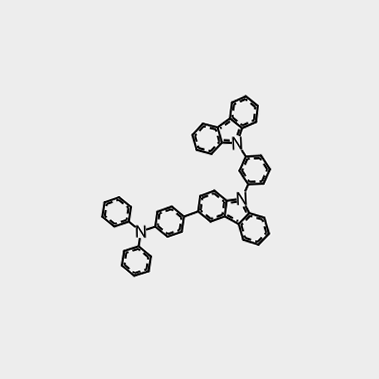 c1ccc(N(c2ccccc2)c2ccc(-c3ccc4c(c3)c3ccccc3n4-c3cccc(-n4c5ccccc5c5ccccc54)c3)cc2)cc1